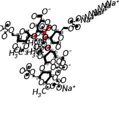 CO[C@H]1O[C@H](COS(=O)(=O)[O-])[C@@H](O[C@@H]2O[C@@H](C(=O)[O-])[C@@H](O[C@H]3O[C@H](COS(=O)(=O)[O-])[C@@H](O[C@@H]4O[C@H](C(=O)[O-])[C@@H](O[C@H]5O[C@H](COS(=O)(=O)[O-])[C@@H](OC)[C@H](OC)[C@H]5OC)[C@H](OC)[C@H]4OC)[C@H](OS(=O)(=O)[O-])[C@H]3OS(=O)(=O)[O-])[C@H](OC)[C@H]2OC)[C@H](OS(=O)(=O)[O-])[C@H]1OS(=O)(=O)[O-].[Na+].[Na+].[Na+].[Na+].[Na+].[Na+].[Na+].[Na+].[Na+]